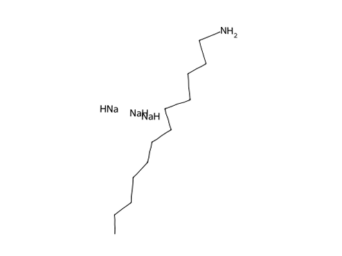 CCCCCCCCCCCCN.[NaH].[NaH].[NaH]